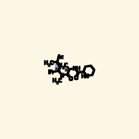 CC(=O)/C(C)=C/[C@H](C(C)C)N(C)C(=O)[C@H](C)NC(=O)C1CCCCN1